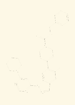 Cc1cc2cnn(-c3cc(N4CCOCC4)ncn3)c2cc1C1=CCN(C(=O)OCc2ccccc2)CC1